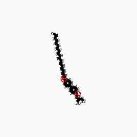 CCCCCCCCCCCCCCCCCCOc1ccc(-c2ccc(OCC(C)CC)cc2)cc1